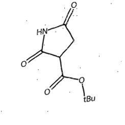 CC(C)(C)OC(=O)C1CC(=O)NC1=O